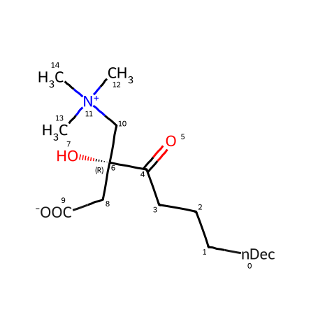 CCCCCCCCCCCCCC(=O)[C@@](O)(CC(=O)[O-])C[N+](C)(C)C